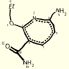 CCOc1nc(N)ccc1C(N)=O